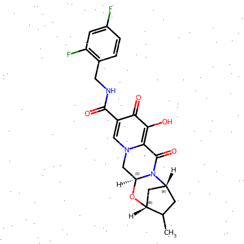 CC1C[C@@H]2C[C@H]1O[C@H]1Cn3cc(C(=O)NCc4ccc(F)cc4F)c(=O)c(O)c3C(=O)N21